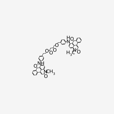 Cn1c(=O)cc2c3c(c(Nc4ccc(CCOC(=O)CC(=O)COCc5ccc(Nc6ccc7c8c(cc(=O)n7C)-c7ccccc7C(=O)c68)cc5)cc4)ccc31)C(=O)c1ccccc1-2